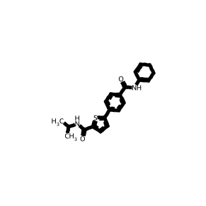 CC(C)NC(=O)c1ccc(-c2ccc(C(=O)NC3=CCCC=C3)cc2)s1